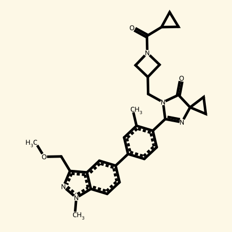 COCc1nn(C)c2ccc(-c3ccc(C4=NC5(CC5)C(=O)N4CC4CN(C(=O)C5CC5)C4)c(C)c3)cc12